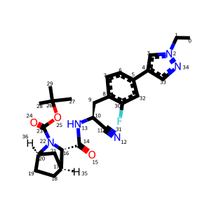 CCn1cc(-c2ccc(C[C@@H](C#N)NC(=O)[C@@H]3[C@H]4CC[C@H](C4)N3C(=O)OC(C)(C)C)c(F)c2)cn1